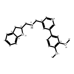 COc1ccc(-c2cncc(CNCC3Cc4ccccc4O3)c2)cc1OC